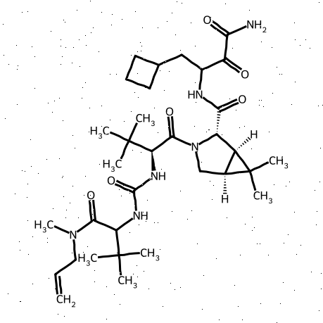 C=CCN(C)C(=O)C(NC(=O)N[C@H](C(=O)N1C[C@H]2[C@@H]([C@H]1C(=O)NC(CC1CCC1)C(=O)C(N)=O)C2(C)C)C(C)(C)C)C(C)(C)C